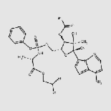 CCC(CC)COC(=O)[C@H](C)NP(=O)(OC[C@H]1O[C@@](C#N)(c2ccc3c(N)ccnn23)[C@](C)(O)[C@@H]1OC(=O)C(C)C)Oc1ccccc1